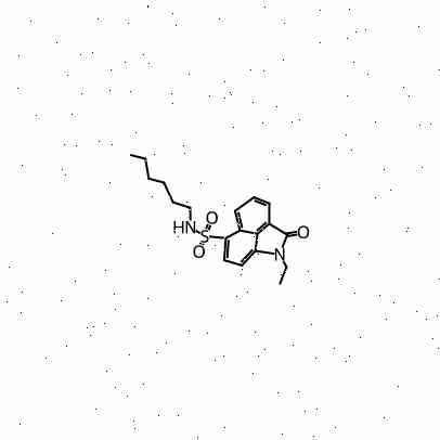 CCCCCCNS(=O)(=O)c1ccc2c3c(cccc13)C(=O)N2CC